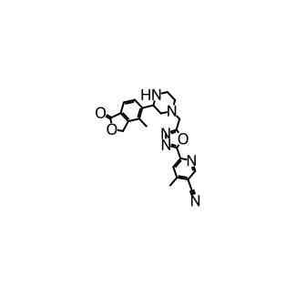 Cc1cc(-c2nnc(CN3CCNC(c4ccc5c(c4C)COC5=O)C3)o2)ncc1C#N